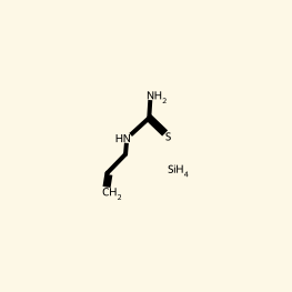 C=CCNC(N)=S.[SiH4]